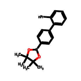 CCCc1ccccc1-c1ccc(B2OC(C)(C)C(C)(C)O2)cc1